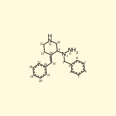 NN(Cc1ccccc1)C1CNCCC1=Cc1ccccc1